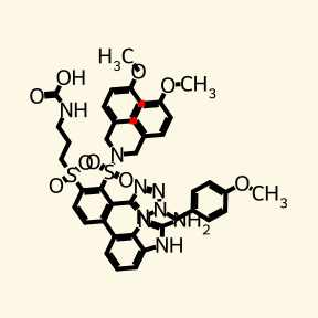 COc1ccc(CN(Cc2ccc(OC)cc2)S(=O)(=O)c2c(S(=O)(=O)CCCNC(=O)O)ccc(-c3cccc4[nH]c(N)nc34)c2-c2nnn(Cc3ccc(OC)cc3)n2)cc1